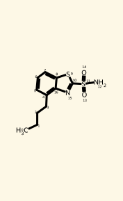 CCCCc1cccc2sc(S(N)(=O)=O)nc12